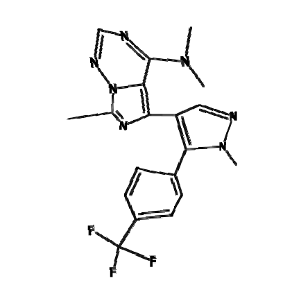 Cc1nc(-c2cnn(C)c2-c2ccc(C(F)(F)F)cc2)c2c(N(C)C)ncnn12